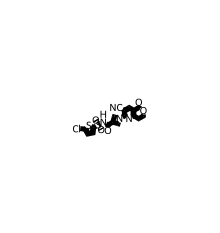 N#Cc1cc2c(nc1N1CC(C(=O)NS(=O)(=O)c3ccc(Cl)s3)C1)CCOC2=O